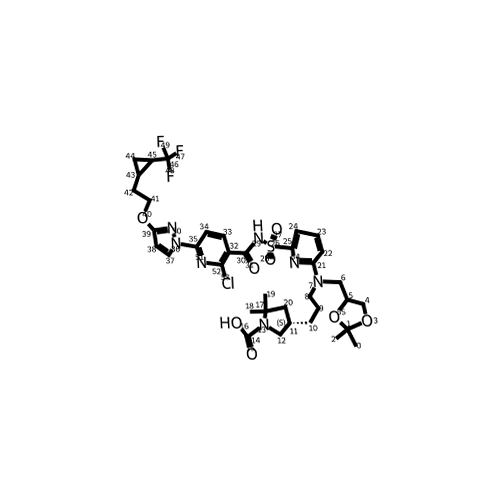 CC1(C)OCC(CN(CCC[C@@H]2CN(C(=O)O)C(C)(C)C2)c2cccc(S(=O)(=O)NC(=O)c3ccc(-n4ccc(OCCC5CC5C(F)(F)F)n4)nc3Cl)n2)O1